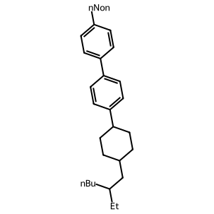 CCCCCCCCCc1ccc(-c2ccc(C3CCC(CC(CC)CCCC)CC3)cc2)cc1